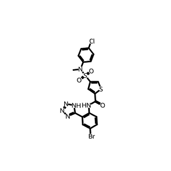 CN(c1ccc(Cl)cc1)S(=O)(=O)c1csc(C(=O)Nc2ccc(Br)cc2-c2nnn[nH]2)c1